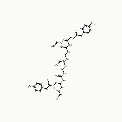 Cc1ccc(CC(=O)OCC(COC=O)OC(=O)CCCN(C=O)CCCC(=O)OC(COC=O)COC(=O)Cc2ccc(C)cc2)cc1